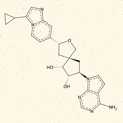 Nc1ncnc2c1ccn2[C@@H]1C[C@@]2(CO[C@@H](c3ccn4c(C5CC5)cnc4c3)C2)[C@@H](O)[C@H]1O